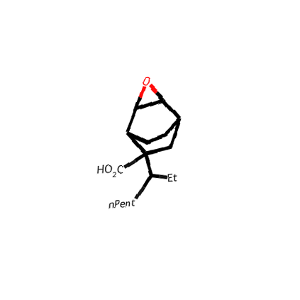 CCCCCC(CC)C1(C(=O)O)CC2CCC1C1OC21